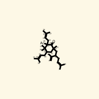 C=C(C)C(CC=C(C)C)CC1(C)CC(CC=C(C)C)C(C)(C)C(CC=C(C)C)(C(C)=O)C1=O